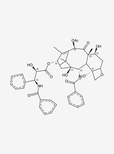 CC(=O)O[C@H]1C(=O)[C@@]2(C)C([C@H](OC(=O)c3ccccc3)[C@]3(O)C[C@H](OC(=O)[C@H](O)[C@@H](NC(=O)c4ccccc4)c4ccccc4)C(C)=C1C3(C)C)[C@]1(OC(C)=O)COC1C[C@@H]2O